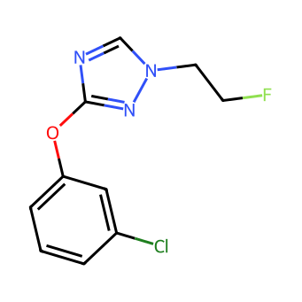 FCCn1cnc(Oc2cccc(Cl)c2)n1